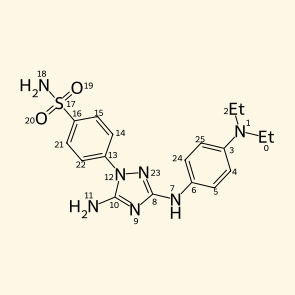 CCN(CC)c1ccc(Nc2nc(N)n(-c3ccc(S(N)(=O)=O)cc3)n2)cc1